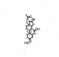 CC(=O)O[C@H]1[C@H](Br)CC2C3C(CC[C@@]21C)[C@@]1(C)CC[C@H](OO)CC1C[C@@H]3O